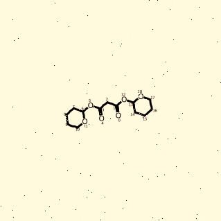 O=C(CC(=O)OC1CCCCO1)OC1CCCCO1